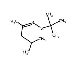 CC(CC(C)C)=NSC(C)(C)C